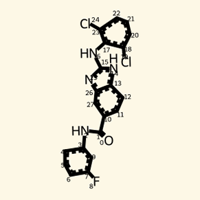 O=C(Nc1cccc(F)c1)c1ccc2[nH]c(Nc3c(Cl)cccc3Cl)nc2c1